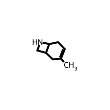 CC1=CCC2NCC2C1